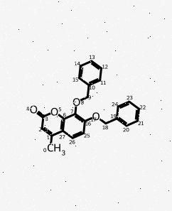 Cc1cc(=O)oc2c(OCc3ccccc3)c(OCc3ccccc3)ccc12